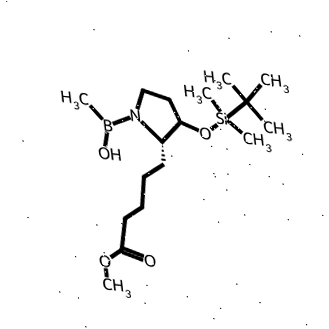 COC(=O)CCCC[C@H]1C(O[Si](C)(C)C(C)(C)C)CCN1B(C)O